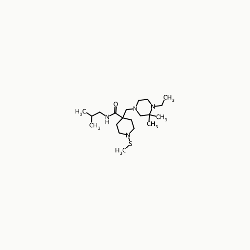 CCN1CCN(CC2(C(=O)NCC(C)C)CCN(SC)CC2)CC1(C)C